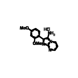 COc1ccc(-c2nc3ncccn3c2N)c(OC)c1.Cl